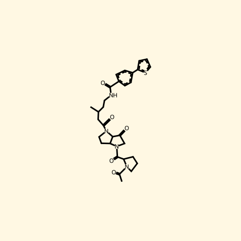 CC(=O)N1CCCC1C(=O)N1CC(=O)C2C1CCN2C(=O)CC(C)CCNC(=O)c1ccc(-c2cccs2)cc1